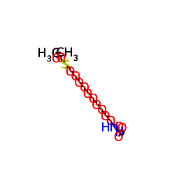 CC(C)C(=O)OCCSSCCOCCOCCOCCOCCOCCOCCOCCOCCOCCOCCNC(=O)CN1C(=O)C=CC1=O